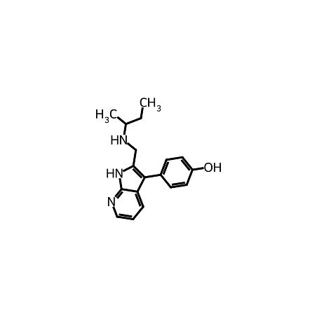 CCC(C)NCc1[nH]c2ncccc2c1-c1ccc(O)cc1